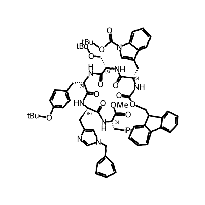 COC(=O)[C@H](CC(C)C)NC(=O)[C@@H](Cc1cn(Cc2ccccc2)cn1)NC(=O)[C@H](Cc1ccc(OC(C)(C)C)cc1)NC(=O)[C@H](COC(C)(C)C)NC(=O)[C@H](Cc1cn(C(=O)OC(C)(C)C)c2ccccc12)NC(=O)OCC1c2ccccc2-c2ccccc21